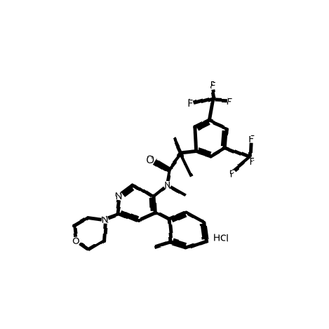 Cc1ccccc1-c1cc(N2CCOCC2)ncc1N(C)C(=O)C(C)(C)c1cc(C(F)(F)F)cc(C(F)(F)F)c1.Cl